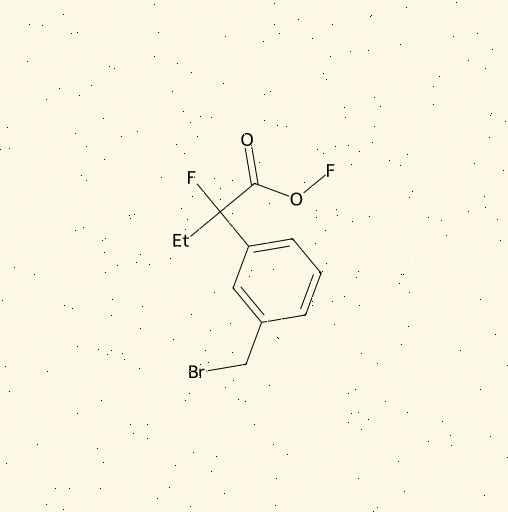 CCC(F)(C(=O)OF)c1cccc(CBr)c1